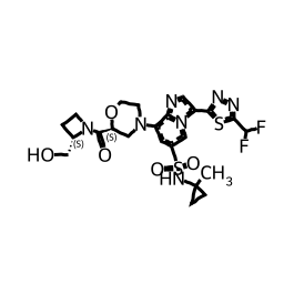 CC1(NS(=O)(=O)c2cc(N3CCO[C@H](C(=O)N4CC[C@H]4CO)C3)c3ncc(-c4nnc(C(F)F)s4)n3c2)CC1